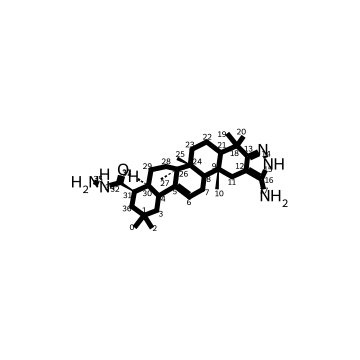 CC1(C)CC2C3=CCC4[C@@]5(C)Cc6c(n[nH]c6N)C(C)(C)C5CC[C@@]4(C)[C@]3(C)CC[C@@H]2[C@H](C(=O)NN)C1